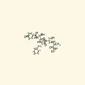 CCNC(=O)[C@H](C)NC[C@H](CC(C)C)NC(=O)[C@H](CCc1ccccc1)NC(=O)[C@@H](NC(=O)c1cc[n+]([O-])cc1)C(C)CC